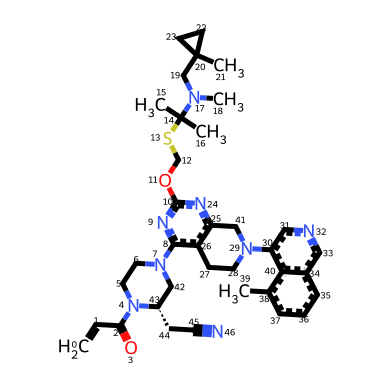 C=CC(=O)N1CCN(c2nc(OCSC(C)(C)N(C)CC3(C)CC3)nc3c2CCN(c2cncc4cccc(C)c24)C3)C[C@@H]1CC#N